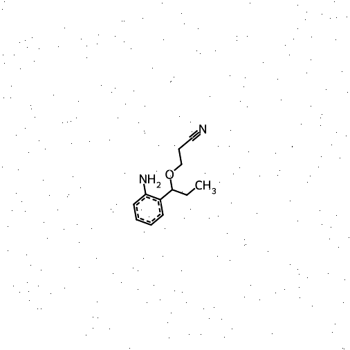 CCC(OCCC#N)c1ccccc1N